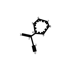 C#CC(=C)c1ccccc1